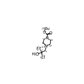 CCC(O)(CC)CN1CCN(C(=O)OC(C)(C)C)CC1